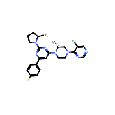 CC1CCCN1c1nc(-c2ccc(F)cc2)cc(N2CCN(c3ncncc3Cl)C[C@H]2C)n1